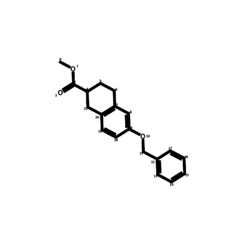 COC(=O)C1CCc2cc(OCc3ccccc3)ccc2C1